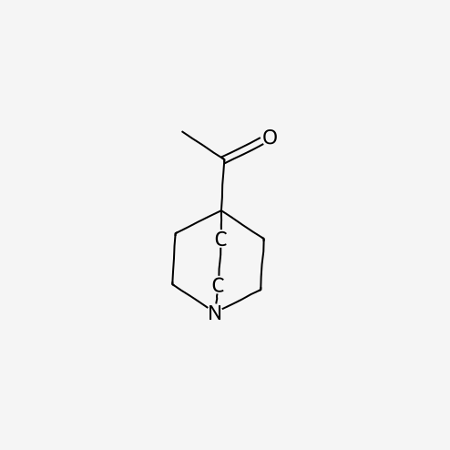 CC(=O)C12CCN(CC1)CC2